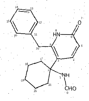 O=CNC1(c2ccc(=O)[nH]c2Cc2ccccc2)CCCCC1